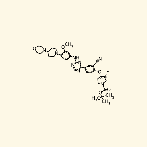 COc1cc(Nc2ncnc(-c3ccc(O[C@H]4CCN(C(=O)OC(C)(C)C)C[C@H]4F)c(C#N)c3)n2)ccc1N1CCC(N2CCOCC2)CC1